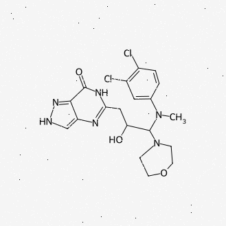 CN(c1ccc(Cl)c(Cl)c1)C(C(O)Cc1nc2c[nH]nc2c(=O)[nH]1)N1CCOCC1